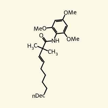 CCCCCCCCCCCCCCC=CC(C)(C)C(=O)Nc1c(OC)cc(OC)cc1OC